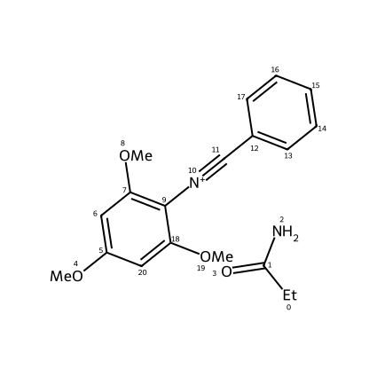 CCC(N)=O.COc1cc(OC)c([N+]#Cc2ccccc2)c(OC)c1